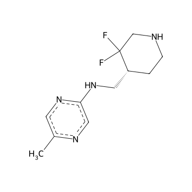 Cc1cnc(NC[C@H]2CCNCC2(F)F)cn1